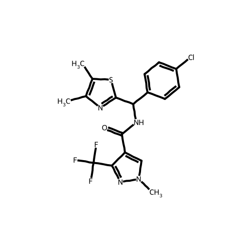 Cc1nc(C(NC(=O)c2cn(C)nc2C(F)(F)F)c2ccc(Cl)cc2)sc1C